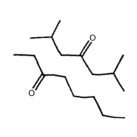 CC(C)CC(=O)CC(C)C.CCCCCC(=O)CC